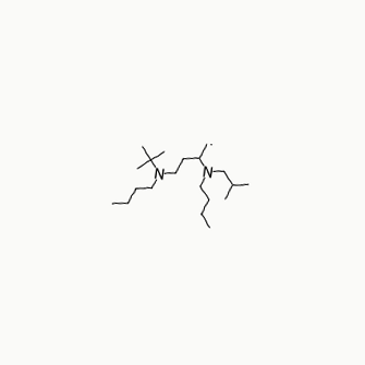 [CH2]C(CCN(CCCC)C(C)(C)C)N(CCCC)CC(C)C